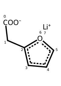 O=C([O-])Cc1ccco1.[Li+]